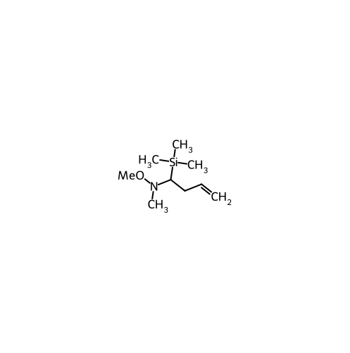 C=CCC(N(C)OC)[Si](C)(C)C